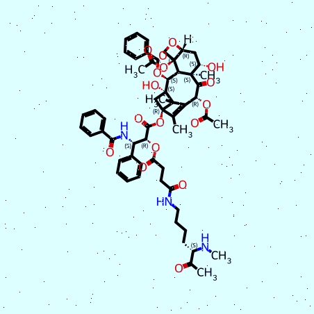 CN[C@@H](CCCCNC(=O)CCC(=O)O[C@@H](C(=O)O[C@]12C[C@@]3(O)[C@@H](OC(=O)c4ccccc4)C4[C@](C)(C(=O)[C@H](OC(C)=O)C(=C1C)C32C)[C@@H](O)C[C@H]1OC[C@@]41OC(C)=O)[C@@H](NC(=O)c1ccccc1)c1ccccc1)C(C)=O